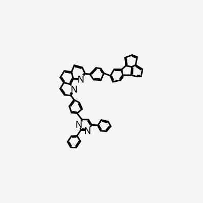 c1ccc(-c2cc(-c3ccc(-c4ccc5ccc6ccc(-c7ccc(-c8ccc9c(c8)-c8cccc%10cccc-9c8%10)cc7)nc6c5n4)cc3)nc(-c3ccccc3)n2)cc1